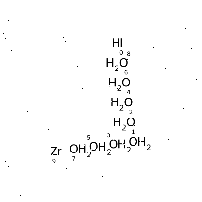 I.O.O.O.O.O.O.O.O.[Zr]